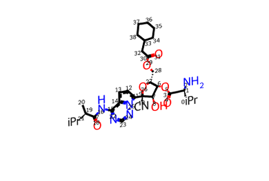 CC(C)[C@H](N)C(=O)O[C@H]1[C@@H](O)[C@](C#N)(c2ccc3c(NC(=O)[C@H](C)C(C)C)ncnn23)O[C@@H]1COC(=O)CC1CCCCC1